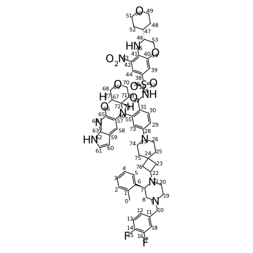 Cc1ccccc1[C@@H]1CN(Cc2ccc(F)c(F)c2)CCN1C1CC2(CCN(c3ccc(C(=O)NS(=O)(=O)c4cc5c(c([N+](=O)[O-])c4)N[C@H](C4CCOCC4)CO5)c(N4c5cc6cc[nH]c6nc5O[C@H]5COCC[C@@H]54)c3)CC2)C1